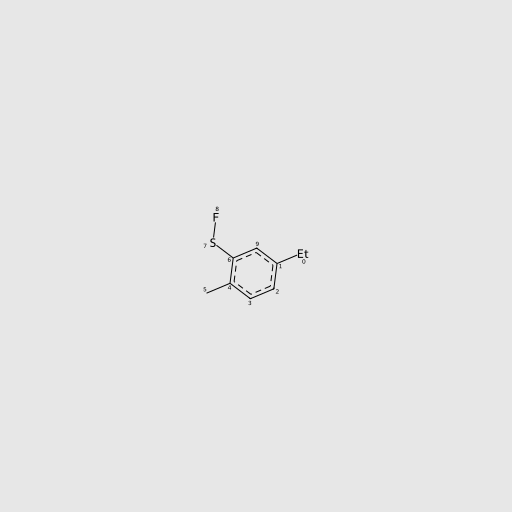 CCc1ccc(C)c(SF)c1